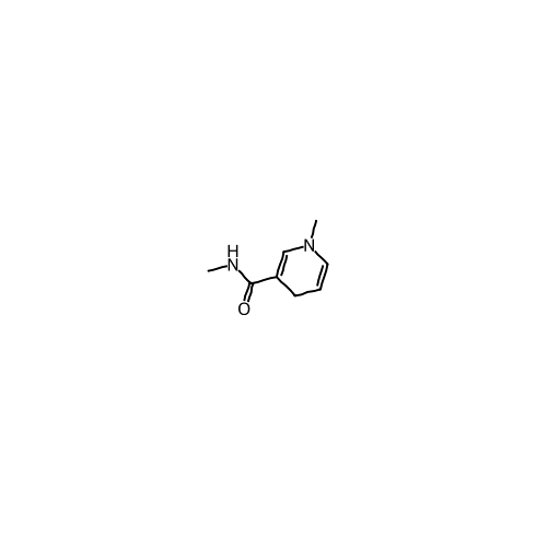 CNC(=O)C1=CN(C)C=CC1